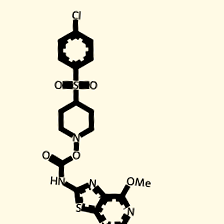 COc1ncnc2sc(NC(=O)ON3CCC(S(=O)(=O)c4ccc(Cl)cc4)CC3)nc12